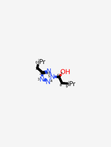 CC(C)Cc1nnn(C(O)CC(C)C)n1